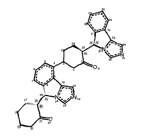 O=C1CC(c2cccc3c2-c2cncn2[C@@H]3[C@H]2CCCCC2=O)CC[C@H]1[C@H]1c2ccccc2-c2cncn21